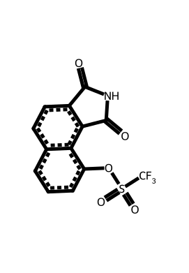 O=C1NC(=O)c2c1ccc1cccc(OS(=O)(=O)C(F)(F)F)c21